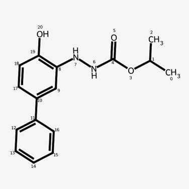 CC(C)OC(=O)NNc1cc(-c2ccccc2)ccc1O